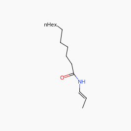 CC=CNC(=O)CCCCCCCCCCC